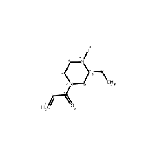 C=CC(=O)N1CCN(I)[C@@H](CC)C1